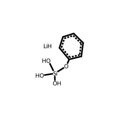 O[Si](O)(O)Oc1ccccc1.[LiH]